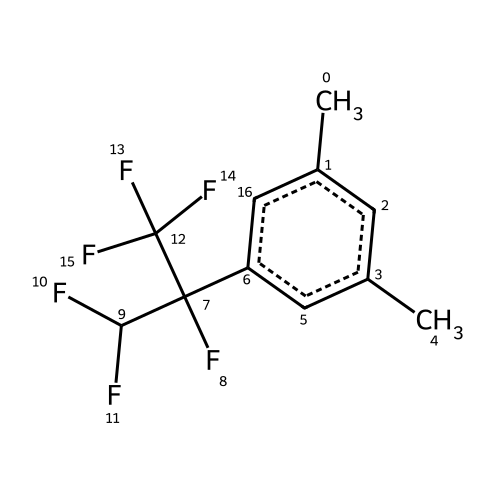 Cc1cc(C)cc(C(F)(C(F)F)C(F)(F)F)c1